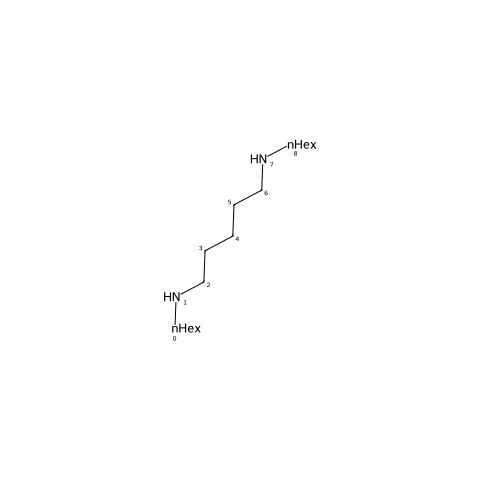 [CH2]CCCCCNCCCCCNCCCCCC